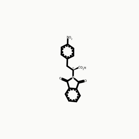 O=C(O)[C@H](Cc1ccc([N+](=O)[O-])cc1)N1C(=O)c2ccccc2C1=O